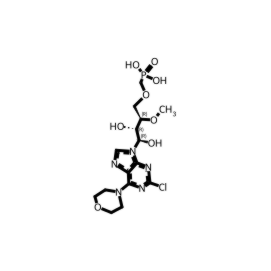 CO[C@H](COCP(=O)(O)O)[C@@H](O)[C@@H](O)n1cnc2c(N3CCOCC3)nc(Cl)nc21